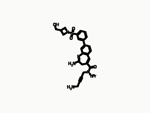 CCCN(CC#CCN)C(=O)C1=Cc2ccc(-c3cccc(S(=O)(=O)N4CC(CO)C4)c3)cc2N=C(N)C1